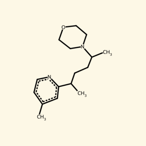 Cc1ccnc(C(C)CCC(C)N2CCOCC2)c1